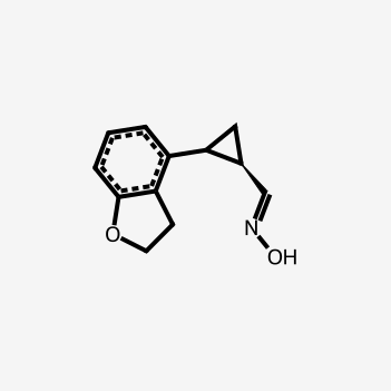 ON=C[C@@H]1CC1c1cccc2c1CCO2